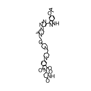 C[C@H]1CN(c2cc(-c3n[nH]c4ccc(OC5(C)CC5)cc34)ncn2)CCN1CCOC1CCN(CC2CCN(c3ccc4c(c3)C(=O)N(C3CCC(=O)NC3=O)C4=O)CC2)CC1